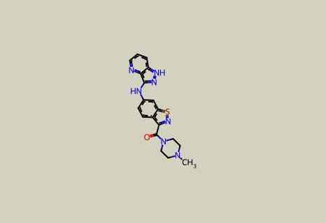 CN1CCN(C(=O)c2nsc3cc(Nc4n[nH]c5cccnc45)ccc23)CC1